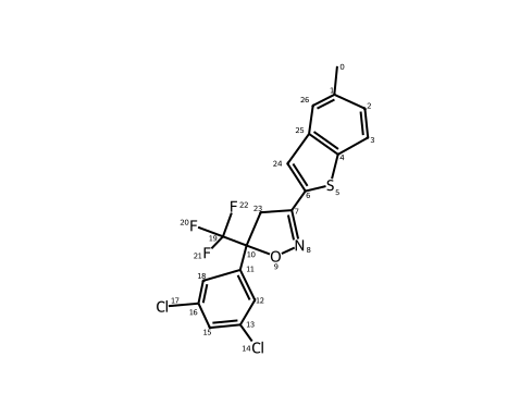 Cc1ccc2sc(C3=NOC(c4cc(Cl)cc(Cl)c4)(C(F)(F)F)C3)cc2c1